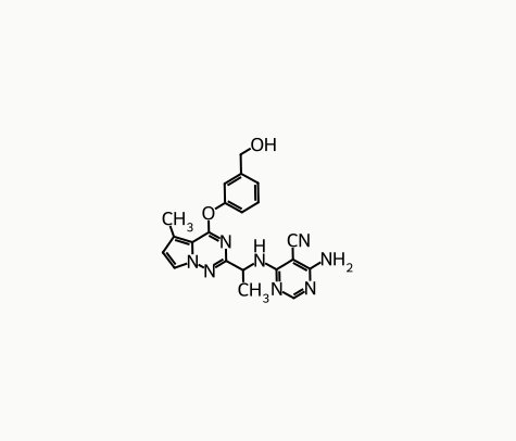 Cc1ccn2nc(C(C)Nc3ncnc(N)c3C#N)nc(Oc3cccc(CO)c3)c12